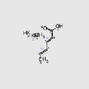 C/C=C/C=C/C(=O)O.O.[KH].[KH]